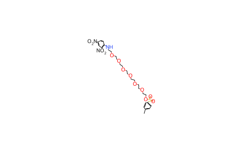 Cc1ccc(S(=O)(=O)OCCOCCOCCOCCOCCOCCOCCNc2ccc([N+](=O)[O-])cc2[N+](=O)[O-])cc1